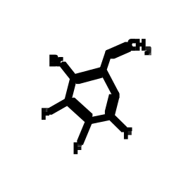 C=Cc1cc(F)c(F)c(F)c1Br